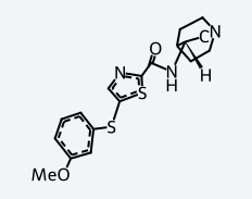 COc1cccc(Sc2cnc(C(=O)N[C@H]3CN4CCC3CC4)s2)c1